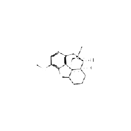 COc1ccc2c3c1OC1CCC[C@]4(O)[C@H](C2)N(C)CC[C@@]314